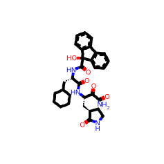 NC(=O)C(=O)[C@H](C[C@H]1CCNC1=O)NC(=O)[C@H](CC1CCCCC1)NC(=O)C1(O)c2ccccc2-c2ccccc21